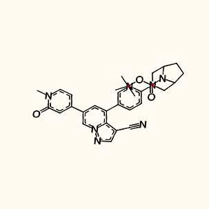 Cn1ccc(-c2cc(-c3ccc(N4CC5CCC(C4)N5C(=O)OC(C)(C)C)nc3)c3c(C#N)cnn3c2)cc1=O